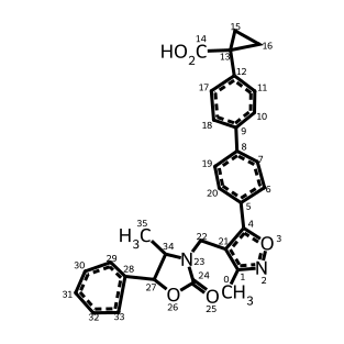 Cc1noc(-c2ccc(-c3ccc(C4(C(=O)O)CC4)cc3)cc2)c1CN1C(=O)OC(c2ccccc2)C1C